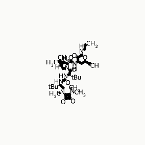 C#CCCC(NC(=O)[C@@H]1[C@@H]2[C@H](CN1C(=O)[C@@H](NC(=O)N[C@H](CN(C)c1c(N(C)C)c(=O)c1=O)C(C)(C)C)C(C)(C)C)C2(C)C)C(=O)C(=O)NCC=C